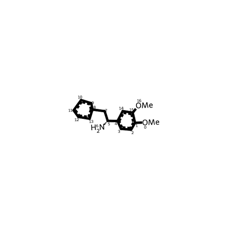 COc1ccc([C@H](N)Cc2ccccc2)cc1OC